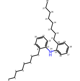 CCCCCCCCc1ccccc1Nc1ccccc1CCCCCCCC